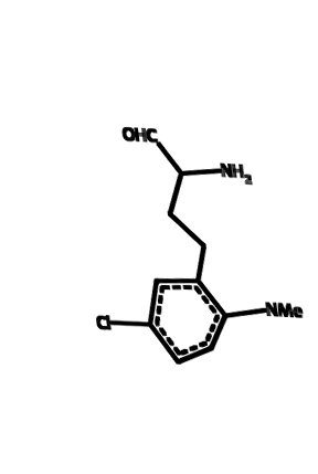 CNc1ccc(Cl)cc1CCC(N)C=O